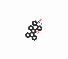 O=[N+]([O-])c1ccccc1-c1cccc2oc3c(c4ccccc4c4c5ccccc5c5ccccc5c34)c12